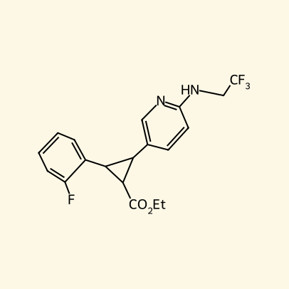 CCOC(=O)C1C(c2ccc(NCC(F)(F)F)nc2)C1c1ccccc1F